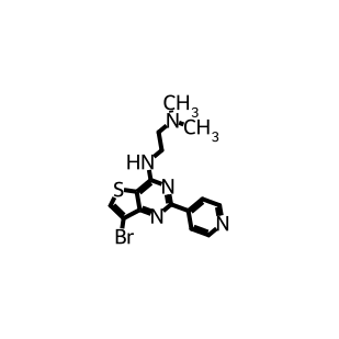 CN(C)CCNc1nc(-c2ccncc2)nc2c(Br)csc12